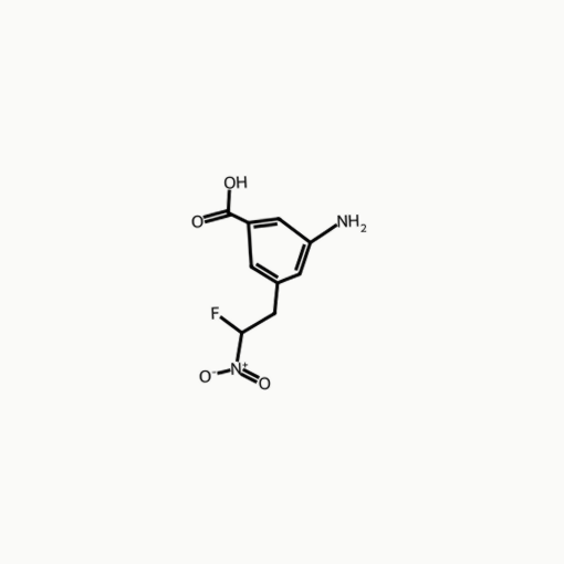 Nc1cc(CC(F)[N+](=O)[O-])cc(C(=O)O)c1